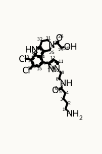 NCCCCC(=O)NCCn1ccc(-c2cc(Cl)c(Cl)c3[nH]c4c(c23)CN(C(=O)CO)CC4)n1